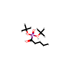 CCCCC(=O)P(=O)(OC(C)(C)C)OC(C)(C)C